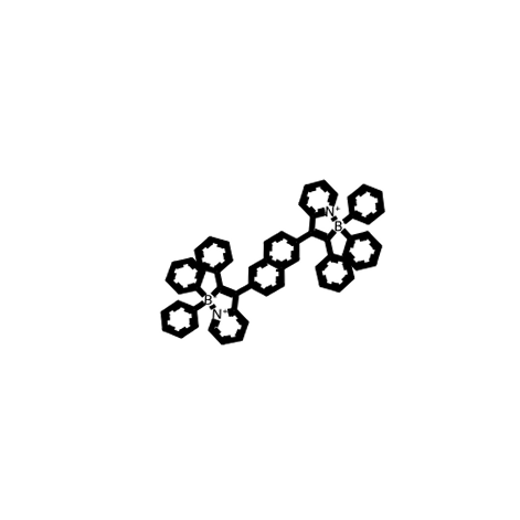 c1ccc(C2=C(c3ccc4cc(C5=C(c6ccccc6)[B-](c6ccccc6)(c6ccccc6)[n+]6ccccc65)ccc4c3)c3cccc[n+]3[B-]2(c2ccccc2)c2ccccc2)cc1